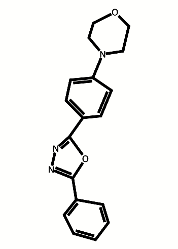 c1ccc(-c2nnc(-c3ccc(N4CCOCC4)cc3)o2)cc1